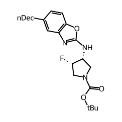 CCCCCCCCCCc1ccc2oc(N[C@@H]3CN(C(=O)OC(C)(C)C)C[C@@H]3F)nc2c1